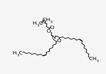 CCCCCCCC/C=C\CCCCCCC1CN(CCOC(=O)CCN(C)C)CC(CCCCCC/C=C\CCCCCCCC)O1